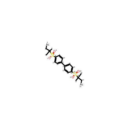 CC(=O)CC(C)(C)S(=O)(=O)c1ccc(-c2ccc(S(=O)(=O)C(C)(C)CC(C)=O)cc2)cc1